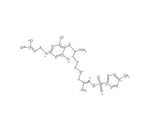 CC(COCCCC(C)Oc1c(Cl)cc(OCC=C(Cl)Cl)cc1Cl)=NOS(=O)(=O)c1ccc(C)cc1